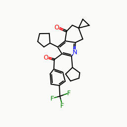 O=C1CC2(CC2)Cc2nc(C3CCCC3)c(C(=O)c3ccc(C(F)(F)F)cc3)c(C3CCCC3)c21